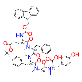 C[C@@H](C(=O)N[C@@H](Cc1ccc(O)cc1)C(=O)O)N(C)C(=O)[C@H](Cc1ccccc1)N(C)C(=O)[C@H](Cc1ccccc1)N(C)C(=O)[C@H](CCC(=O)OC(C)(C)C)NC(=O)OCC1c2ccccc2-c2ccccc21